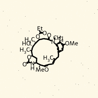 CCC(=O)O[C@H]1CC(=O)N(C)c2cc(cc(OC)c2Cl)C/C(C)=C/C=C/[C@@H](OC)C2CC(OC(=O)N2)[C@@H](C)[C@H](O)[C@@H]1C